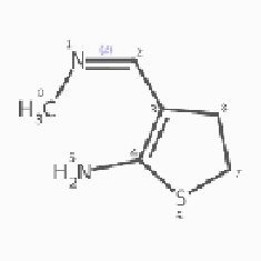 C/N=C\C1=C(N)SCC1